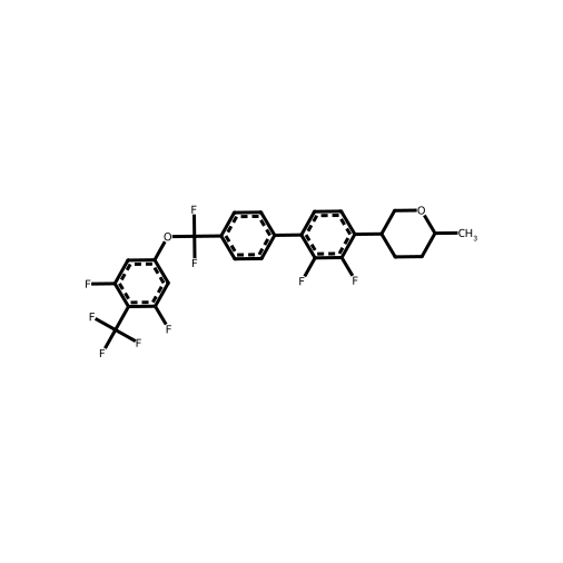 CC1CCC(c2ccc(-c3ccc(C(F)(F)Oc4cc(F)c(C(F)(F)F)c(F)c4)cc3)c(F)c2F)CO1